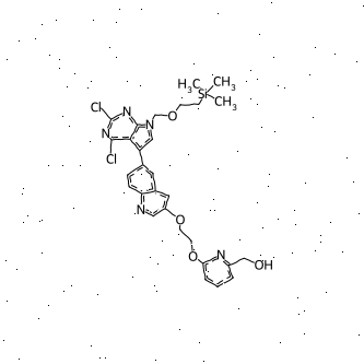 C[Si](C)(C)CCOCn1cc(-c2ccc3ncc(OCCOc4cccc(CO)n4)cc3c2)c2c(Cl)nc(Cl)nc21